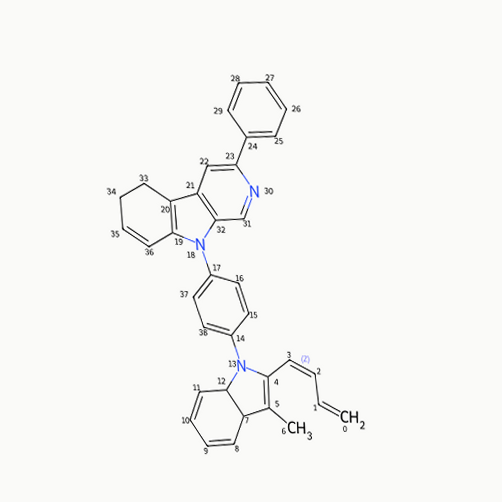 C=C/C=C\C1=C(C)C2C=CC=CC2N1c1ccc(-n2c3c(c4cc(-c5ccccc5)ncc42)CCC=C3)cc1